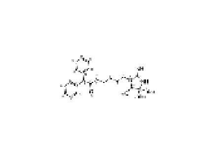 CCCCC1(CCCC)NC(=N)N(CCCCNC(=O)C(c2ccccc2)c2ccccc2)C1=O